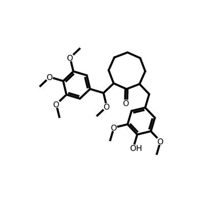 COc1cc(CC2CCCCCC(C(OC)c3cc(OC)c(OC)c(OC)c3)C2=O)cc(OC)c1O